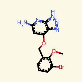 COc1c(Br)cccc1COc1cc(N)nc2[nH]nnc12